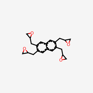 c1c(CC2CO2)c(CC2CO2)cc2cc(CC3CO3)c(CC3CO3)cc12